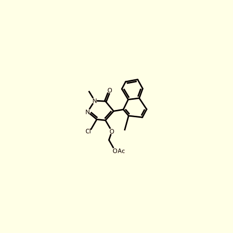 CC(=O)OCOc1c(Cl)nn(C)c(=O)c1-c1c(C)ccc2ccccc12